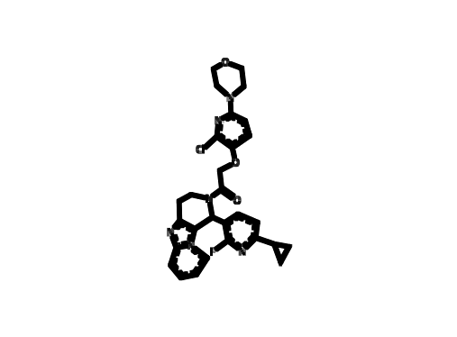 O=C(COc1ccc(N2CCOCC2)nc1Cl)N1CCc2nc3ccccn3c2C1c1ccc(C2CC2)nc1F